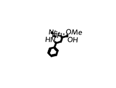 CCC(CC(N[NH+]=[N-])c1ccccc1)C(O)OC